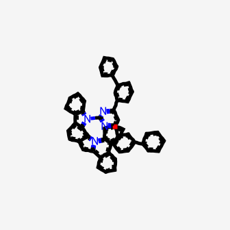 c1ccc(-c2cccc(-c3cc(-c4cccc(-c5ccccc5)c4)nc(-n4c5ccccc5c5ccc6cc7c8ccccc8c8ccccc8n7c6c54)n3)c2)cc1